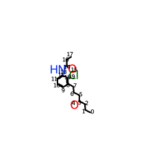 CCCC(=O)CCCc1cccc(NC(=O)CC)c1Cl